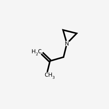 C=C(C)CN1CC1